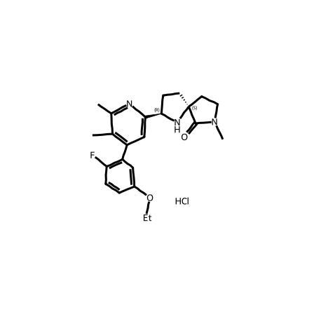 CCOc1ccc(F)c(-c2cc([C@H]3CC[C@@]4(CCN(C)C4=O)N3)nc(C)c2C)c1.Cl